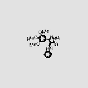 COc1cc(C2=NNC(=O)C2=CNc2ccccc2)cc(OC)c1OC